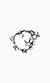 CCP1(=O)Cc2ccc(c(OC)c2)Nc2ncc(C(F)(F)F)c(n2)Nc2ccc(nc2C(=O)NC)-c2cnn(c2)CC2(CC2)CO1